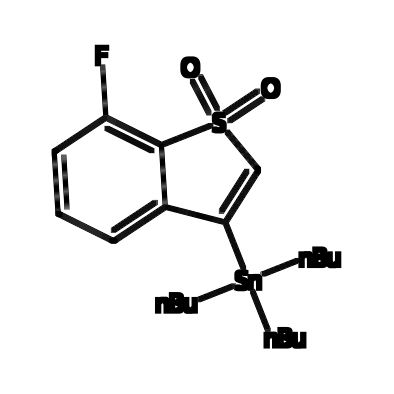 CCC[CH2][Sn]([CH2]CCC)([CH2]CCC)[C]1=CS(=O)(=O)c2c(F)cccc21